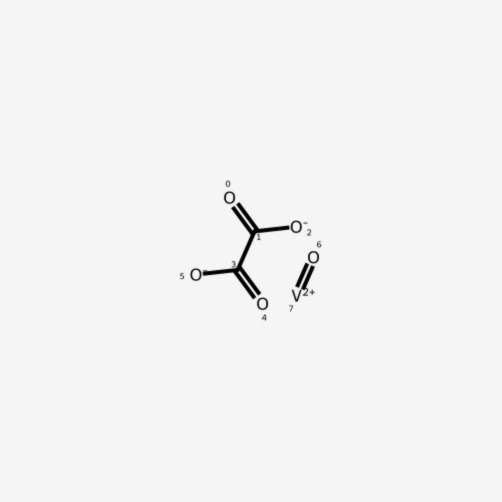 O=C([O-])C(=O)[O-].[O]=[V+2]